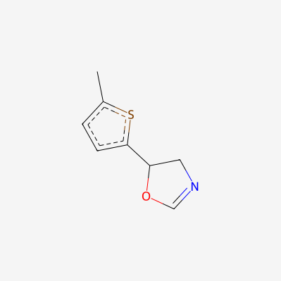 Cc1ccc(C2CN=CO2)s1